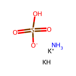 N.O=S(=O)([O-])O.[K+].[KH]